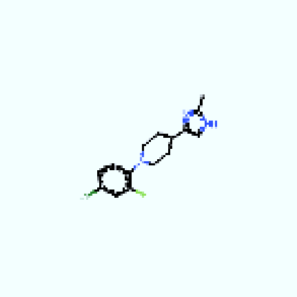 Cc1nc(C2CCN(c3ccc(Cl)cc3F)CC2)c[nH]1